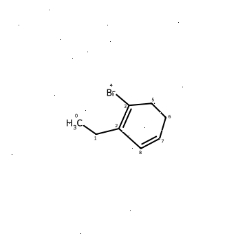 CCC1=C(Br)[CH]CC=C1